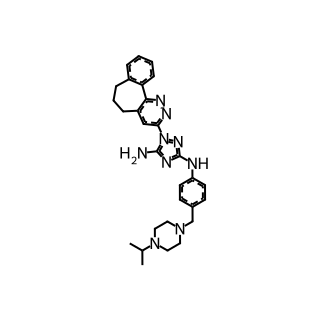 CC(C)N1CCN(Cc2ccc(Nc3nc(N)n(-c4cc5c(nn4)-c4ccccc4CCC5)n3)cc2)CC1